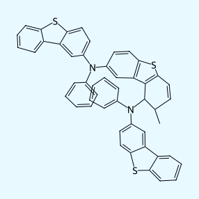 CC1C=Cc2sc3ccc(N(c4ccccc4)c4ccc5sc6ccccc6c5c4)cc3c2C1N(c1ccccc1)c1ccc2sc3ccccc3c2c1